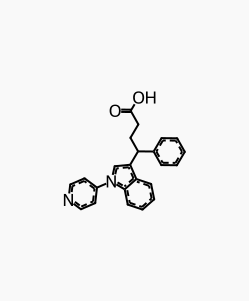 O=C(O)CCC(c1ccccc1)c1cn(-c2ccncc2)c2ccccc12